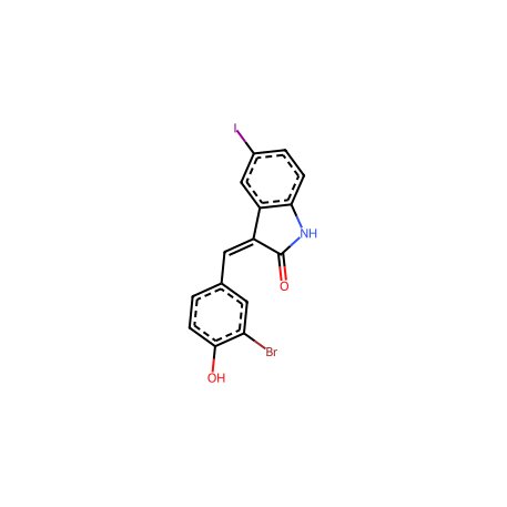 O=C1Nc2ccc(I)cc2C1=Cc1ccc(O)c(Br)c1